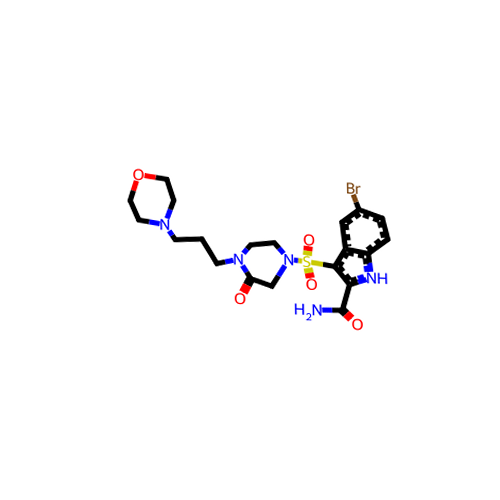 NC(=O)c1[nH]c2ccc(Br)cc2c1S(=O)(=O)N1CCN(CCCN2CCOCC2)C(=O)C1